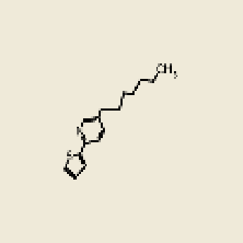 CCCCCCCc1ccc(-c2cccs2)nc1